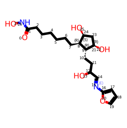 O=C(CCCCCC[C@@H]1[C@@H](CCC(O)/C=N/c2ccco2)[C@H](O)C[C@@H]1O)NO